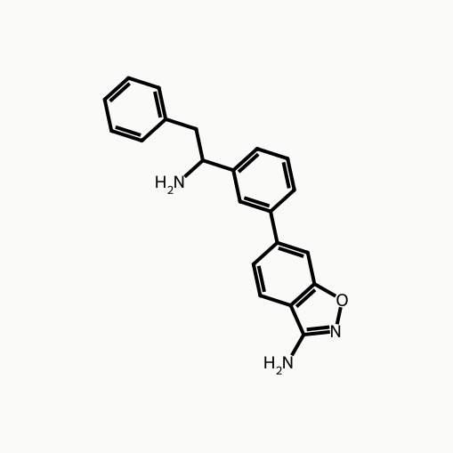 Nc1noc2cc(-c3cccc(C(N)Cc4ccccc4)c3)ccc12